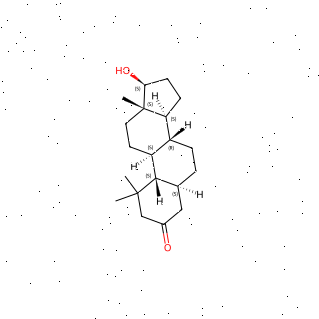 CC1(C)CC(=O)C[C@@H]2CC[C@@H]3[C@H](CC[C@]4(C)[C@@H](O)CC[C@@H]34)[C@H]21